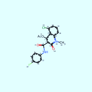 CC(=O)Oc1c(C(=O)Nc2ccc(F)cc2)c(=O)n(C)c2cccc(Cl)c12